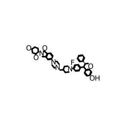 O=C1CC[C@H](N2Cc3cc(N4CCN(CC5CCN(c6ccc(C7c8ccc(O)cc8OC[C@@H]7c7ccccc7)cc6F)CC5)CC4)ccc3C2=O)C(=O)C1